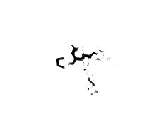 C[Si](C)(C)CCOCn1nc(CS(N)(=O)=O)c2nc(Cl)cc(CN3CCCC3)c21